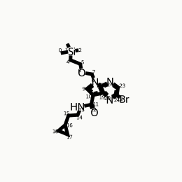 C[Si](C)(C)CCOCn1cc(C(=O)NCCC2CC2)c2nc(Br)cnc21